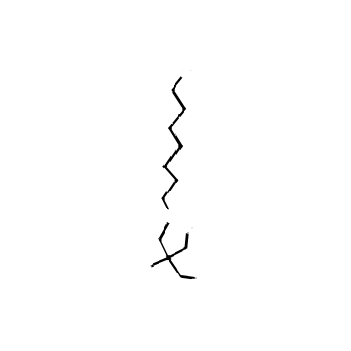 CCC(CO)(CO)COCCCCCCCO